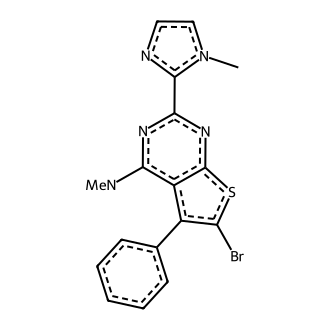 CNc1nc(-c2nccn2C)nc2sc(Br)c(-c3ccccc3)c12